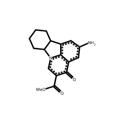 COC(=O)c1cn2c3c(cc(N)cc3c1=O)C1CCCCC12